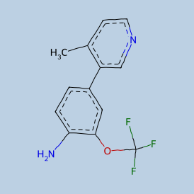 Cc1ccncc1-c1ccc(N)c(OC(F)(F)F)c1